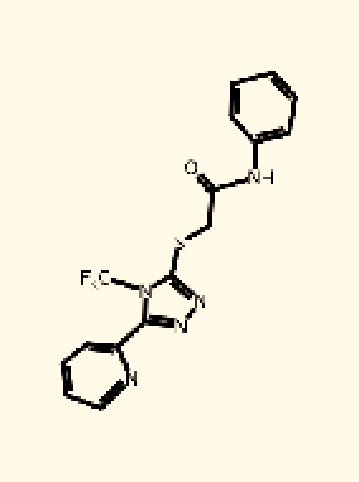 O=C(CSc1nnc(-c2ccccn2)n1C(F)(F)F)Nc1ccccc1